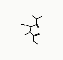 C=C(C(C)C)C(CC)N(C)C(=C)CC